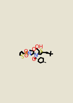 CC(C)(C)C#Cc1cc(N(C(=O)[C@H]2CC[C@H](C)CC2)[C@H]2CCN(S(=O)(=O)c3cccs3)C2)c(C(=O)O)s1